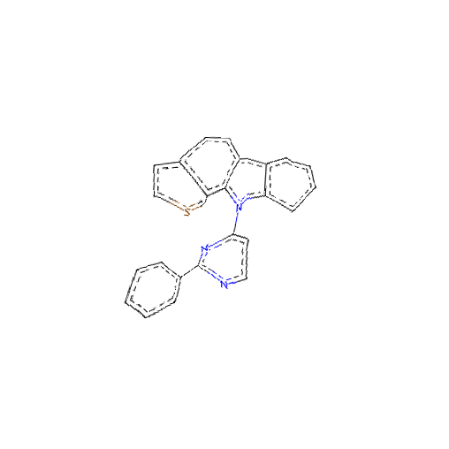 c1ccc(-c2nccc(-n3c4ccccc4c4ccc5ccsc5c43)n2)cc1